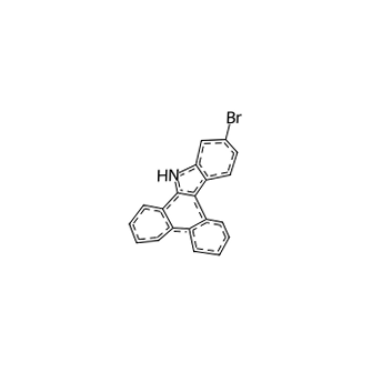 Brc1ccc2c(c1)[nH]c1c3ccccc3c3ccccc3c21